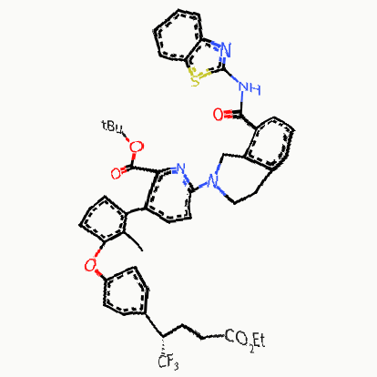 CCOC(=O)CC[C@@H](c1ccc(Oc2cccc(-c3ccc(N4CCc5cccc(C(=O)Nc6nc7ccccc7s6)c5C4)nc3C(=O)OC(C)(C)C)c2C)cc1)C(F)(F)F